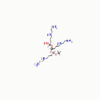 C[Si](C)(C)O[Si](C)(CCCNCCN)O[Si](C)(CCCNCCN)O[Si](C)(O)CCCNCCN